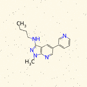 CCCCNc1nn(C)c2ncc(-c3cccnc3)cc12